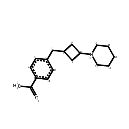 BC(=O)c1ccc(CC2CC(N3CCCCC3)C2)cc1